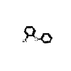 CCc1ccccc1Oc1[c]cccc1